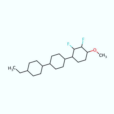 CCC1CCC(C2CCC(C3CCC(OC)C(F)C3F)CC2)CC1